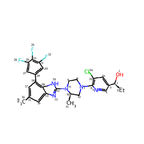 CC[C@H](O)c1cnc(N2CCN(c3nc4cc(C(F)(F)F)cc(-c5cc(F)c(F)c(F)c5)c4[nH]3)[C@H](C)C2)c(Cl)c1